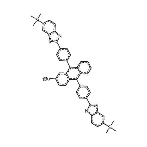 CC(C)(C)c1ccc2c(-c3ccc(-c4nc5ccc([Si](C)(C)C)cc5s4)cc3)c3ccccc3c(-c3ccc(-c4nc5ccc([Si](C)(C)C)cc5s4)cc3)c2c1